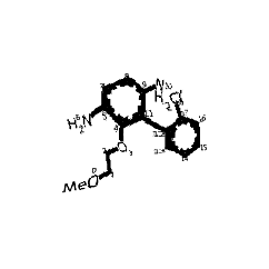 COCCOc1c(N)ccc(N)c1-c1ccccc1Cl